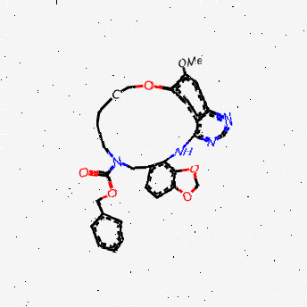 COc1cc2ncnc3c2cc1OCCCCCN(C(=O)OCc1ccccc1)Cc1ccc2c(c1N3)OCO2